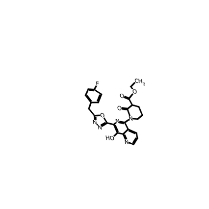 CCOC(=O)C1CCCN(c2nc(-c3nnc(Cc4ccc(F)cc4)o3)c(O)c3ncccc23)C1=O